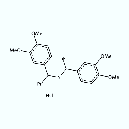 COc1ccc(C(NC(c2ccc(OC)c(OC)c2)C(C)C)C(C)C)cc1OC.Cl